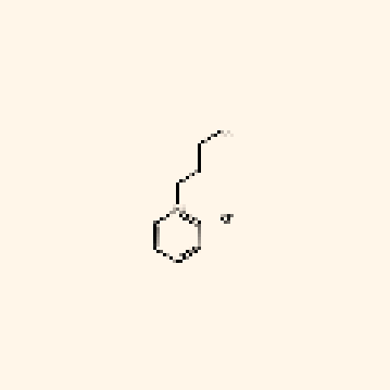 CCC(C)CCC[n+]1ccccc1.[Cl-]